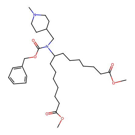 COC(=O)CCCCCCC(CCCCCCC(=O)OC)N(CC1CCN(C)CC1)C(=O)OCc1ccccc1